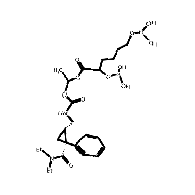 CCN(CC)C(=O)[C@]1(c2ccccc2)C[C@@H]1CNC(=O)OC(C)OC(=O)C(CCCCON(O)O)ON(O)O